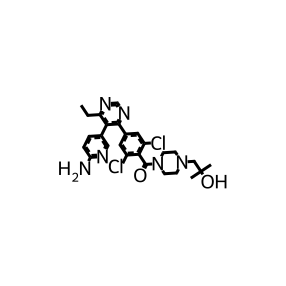 CCc1ncnc(-c2cc(Cl)c(C(=O)N3CCN(CC(C)(C)O)CC3)c(Cl)c2)c1-c1ccc(N)nc1